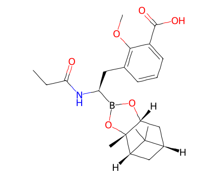 CCC(=O)N[C@@H](Cc1cccc(C(=O)O)c1OC)B1O[C@@H]2C[C@@H]3C[C@@H](C3(C)C)[C@]2(C)O1